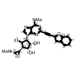 CCC1[C@H](C2O[C@@H]2NC)[C@@H](O)[C@@H](O)[C@@H]1n1cnc2c(NC)nc(C#Cc3cc4ccccc4o3)nc21